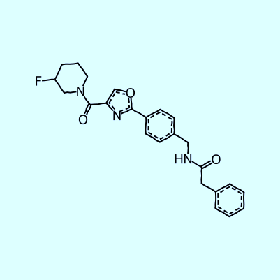 O=C(Cc1ccccc1)NCc1ccc(-c2nc(C(=O)N3CCCC(F)C3)co2)cc1